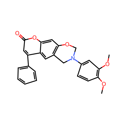 COc1ccc(N2COc3cc4oc(=O)cc(-c5ccccc5)c4cc3C2)cc1OC